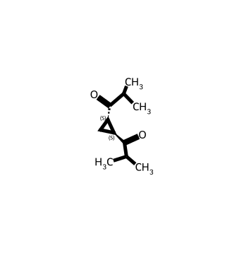 CC(C)C(=O)[C@H]1C[C@@H]1C(=O)C(C)C